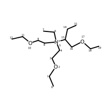 CCOCC[N+](CC)(CCOCC)C(CC)COCC